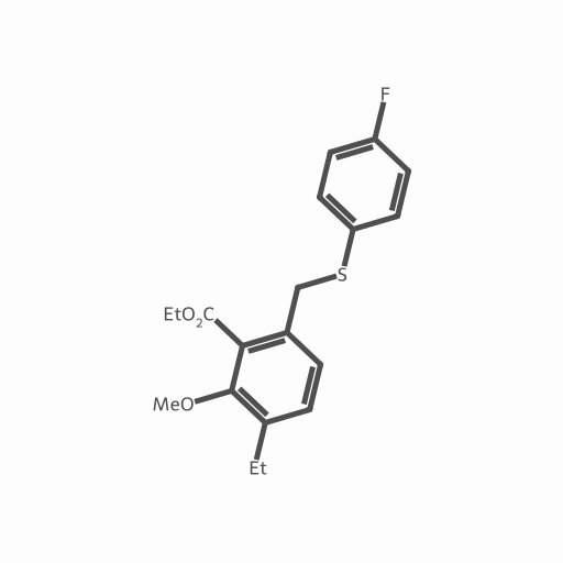 CCOC(=O)c1c(CSc2ccc(F)cc2)ccc(CC)c1OC